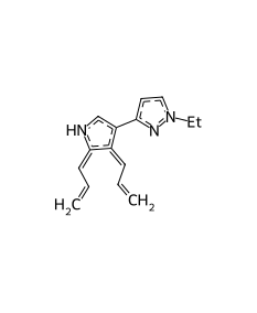 C=C/C=c1/c(-c2ccn(CC)n2)c[nH]/c1=C/C=C